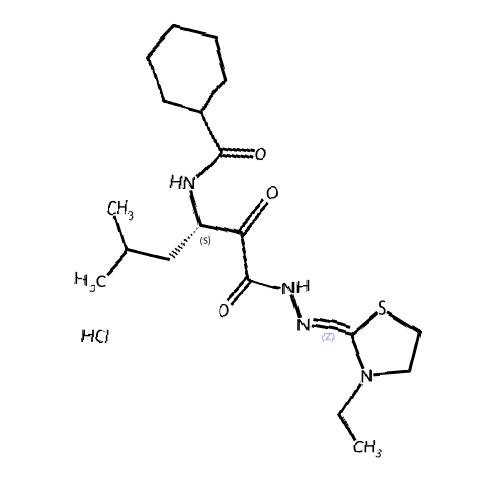 CCN1CCS/C1=N\NC(=O)C(=O)[C@H](CC(C)C)NC(=O)C1CCCCC1.Cl